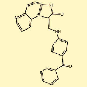 O=C1Nc2ccc3ncccc3c2C1=CNc1ccc(C(=O)c2ccccc2)cc1